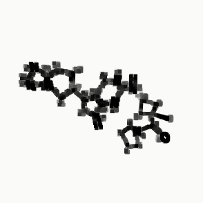 C[C@]1(C(=O)N2CCCC2)C[C@@H](Nc2ncc3c(-c4ccc5ncnn5c4)c[nH]c3n2)C1